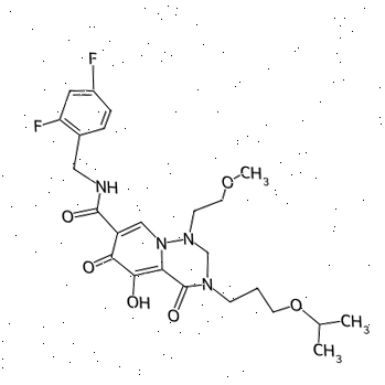 COCCN1CN(CCCOC(C)C)C(=O)c2c(O)c(=O)c(C(=O)NCc3ccc(F)cc3F)cn21